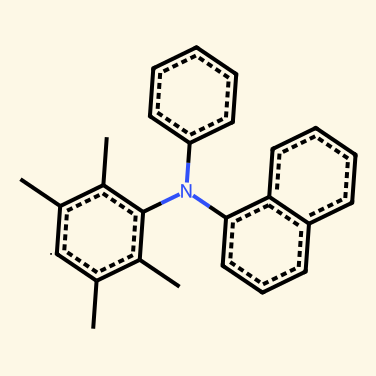 Cc1[c]c(C)c(C)c(N(c2ccccc2)c2cccc3ccccc23)c1C